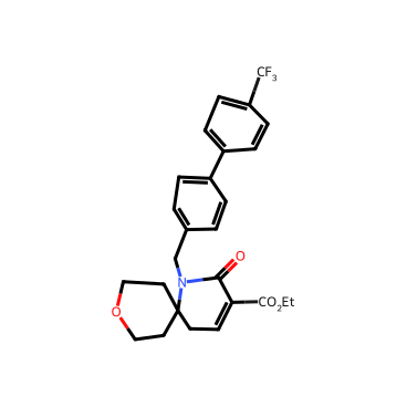 CCOC(=O)C1=CCC2(CCOCC2)N(Cc2ccc(-c3ccc(C(F)(F)F)cc3)cc2)C1=O